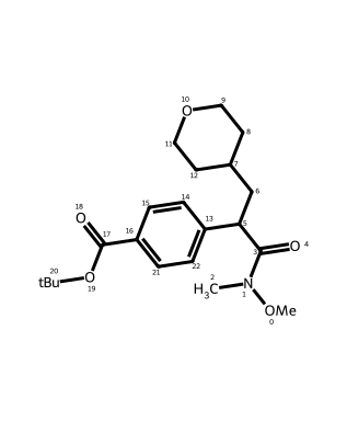 CON(C)C(=O)C(CC1CCOCC1)c1ccc(C(=O)OC(C)(C)C)cc1